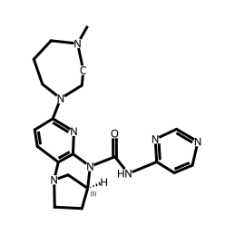 CN1CCCN(c2ccc3c(n2)N(C(=O)Nc2ccncn2)[C@H]2CCN3C2)CC1